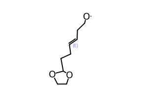 [O]CC/C=C/CCC1OCCO1